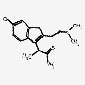 CC(C(N)=S)C1=C(CCN(C)C)Cc2cc(Cl)ccc21